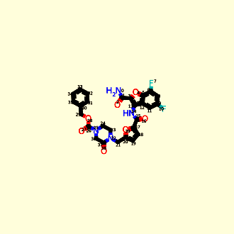 NC(=O)c1oc2c(F)cc(F)cc2c1NC(=O)c1ccc(CN2CCN(C(=O)OCc3ccccc3)CC2=O)o1